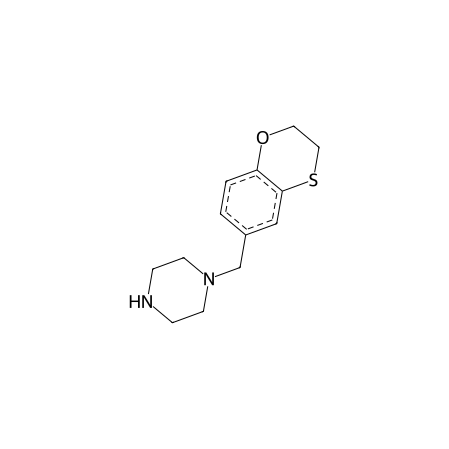 c1cc2c(cc1CN1CCNCC1)SCCO2